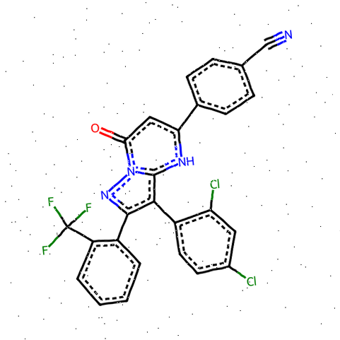 N#Cc1ccc(-c2cc(=O)n3nc(-c4ccccc4C(F)(F)F)c(-c4ccc(Cl)cc4Cl)c3[nH]2)cc1